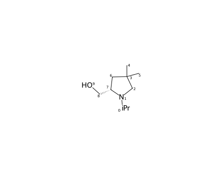 CC(C)N1CC(C)(C)C[C@H]1CO